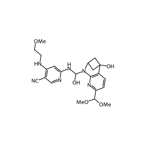 COCCNc1cc(NC(O)N2c3nc(C(OC)OC)ccc3C3(O)CC2C3)ncc1C#N